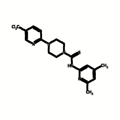 Cc1cc(C)nc(NC(=S)N2CCN(c3ccc(C(Cl)(Cl)Cl)cn3)CC2)c1